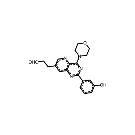 O=CCCc1cnc2c(N3CCOCC3)nc(-c3cccc(O)c3)nc2c1